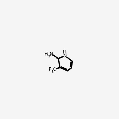 N[C]1NC=CC=C1C(F)(F)F